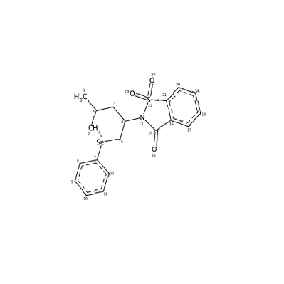 CC(C)CC(C[Se]c1ccccc1)N1C(=O)c2ccccc2S1(=O)=O